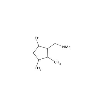 CCC1CC(C)C(C)C1CNC